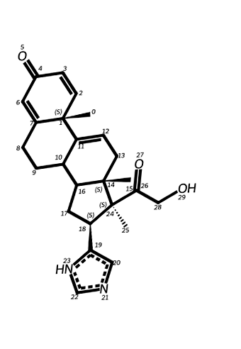 C[C@]12C=CC(=O)C=C1CCC1C2=CC[C@@]2(C)C1C[C@H](c1cnc[nH]1)[C@]2(C)C(=O)CO